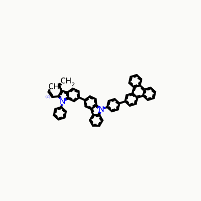 C=Cc1c(/C=C\C)n(-c2ccccc2)c2cc(-c3ccc4c(c3)c3ccccc3n4-c3ccc(-c4ccc5c6ccccc6c6ccccc6c5c4)cc3)ccc12